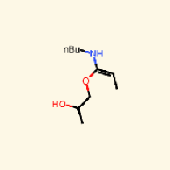 CC=C(NCCCC)OCC(C)O